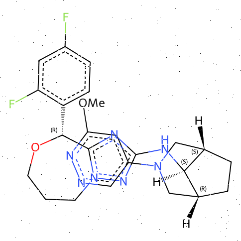 COc1cc(N2C[C@H]3CC[C@@H](C2)[C@@H]3Nc2nc3n(n2)CCCO[C@@H]3c2ccc(F)cc2F)cnn1